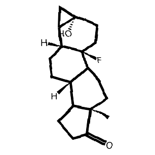 C[C@]12CCC3[C@@H](CC[C@@H]4C5C[C@@]5(O)CC[C@]34F)C1CCC2=O